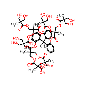 CC(CO)(CO)C(=O)OCC(C)(COC(=O)C(C)(CO)CO)C(=O)Oc1ccccc1C(C)(c1ccccc1OC(=O)C(C)(COC(=O)C(C)(CO)CO)COC(=O)C(C)(CO)CO)c1ccccc1OC(=O)C(C)(COC(=O)C(C)(CO)CO)COC(=O)C(C)(CO)CO